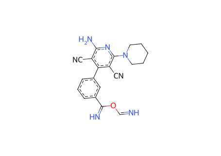 N#Cc1c(N)nc(N2CCCCC2)c(C#N)c1-c1cccc(C(=N)OC=N)c1